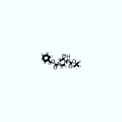 CC(C)(C)OC(=O)NN1C=CN(C(=O)OCc2ccccc2)CC1=O